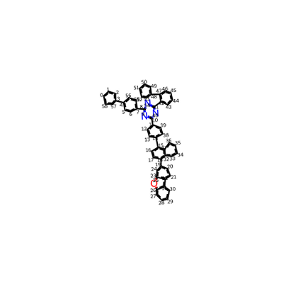 c1ccc(-c2ccc(-c3nc(-c4ccc(-c5ccc(-c6ccc7c(c6)oc6ccccc67)c6ccccc56)cc4)nc(-c4ccccc4-c4ccccc4)n3)cc2)cc1